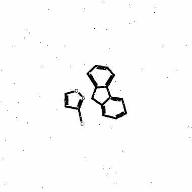 Clc1bocc1.c1ccc2c(c1)Cc1ccccc1-2